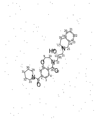 O=C(c1ccc2c(c1)OCCN(C[C@H](O)CN1CCc3ccccc3C1)C2=O)N1CCCCC1